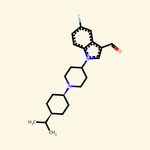 CC(C)[C@H]1CC[C@@H](N2CCC(n3cc(C=O)c4cc(F)ccc43)CC2)CC1